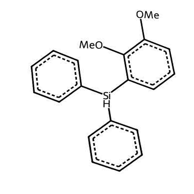 COc1cccc([SiH](c2ccccc2)c2ccccc2)c1OC